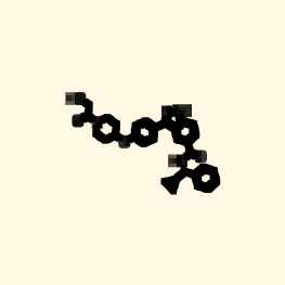 O=C(N[C@H](c1ccccc1)C1CC1)c1ccc2[nH]nc(-c3ccc(OC4CCN(C(=O)CO)CC4)cc3)c2c1